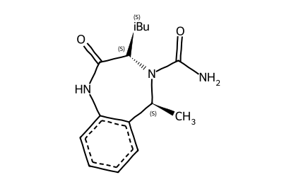 CC[C@H](C)[C@H]1C(=O)Nc2ccccc2[C@H](C)N1C(N)=O